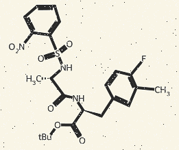 Cc1cc(C[C@H](NC(=O)[C@H](C)NS(=O)(=O)c2ccccc2[N+](=O)[O-])C(=O)OC(C)(C)C)ccc1F